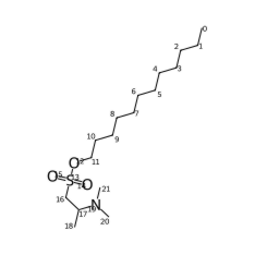 CCCCCCCCCCCCOS(=O)(=O)CC(C)N(C)C